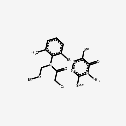 CCOCN(C(=O)CCl)c1c(C)cccc1CC.CSc1nnc(C(C)(C)C)c(=O)n1N